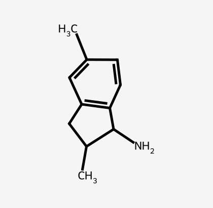 Cc1ccc2c(c1)CC(C)C2N